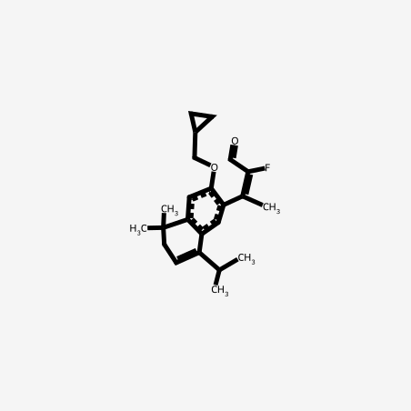 C/C(=C(\F)C=O)c1cc2c(cc1OCC1CC1)C(C)(C)CC=C2C(C)C